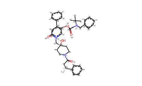 C[C@H](CC(=O)N1CCC(O)(Cn2cc(OC(=O)N(Cc3ccccc3)C(C)(C)C)c(-c3ccccc3)cc2=O)CC1)c1ccccc1